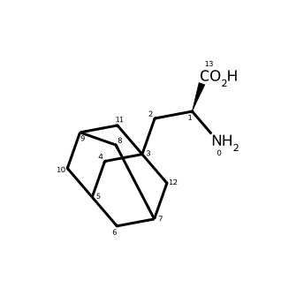 N[C@@H](CC12CC3CC(CC(C3)C1)C2)C(=O)O